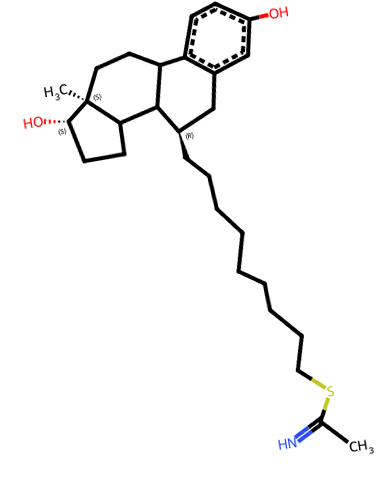 CC(=N)SCCCCCCCCC[C@@H]1Cc2cc(O)ccc2C2CC[C@@]3(C)C(CC[C@@H]3O)C21